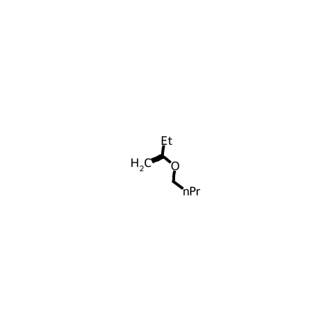 C=C(CC)OCCCC